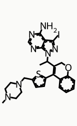 CC(C1=C(c2ccc(CN3CCN(C)CC3)s2)c2ccccc2OC1)n1nc(I)c2c(N)ncnc21